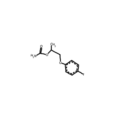 CC(COc1ccc(I)cc1)OC(N)=O